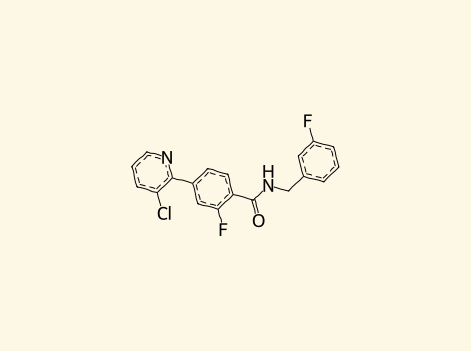 O=C(NCc1cccc(F)c1)c1ccc(-c2ncccc2Cl)cc1F